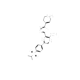 CC(C)S(=O)(=O)c1ccc(-c2cnc(N)c(-c3nnc(C4=CCNCC4)o3)n2)cc1